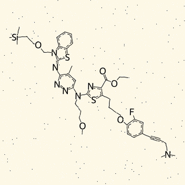 CCOC(=O)c1nc(N(CCCOC)c2cc(C)c(/N=c3\sc4ccccc4n3COCC[Si](C)(C)C)nn2)sc1CCCOc1ccc(C#CCN(C)C)cc1F